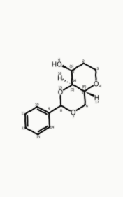 O[C@H]1CCO[C@@H]2COC(c3ccccc3)O[C@@H]12